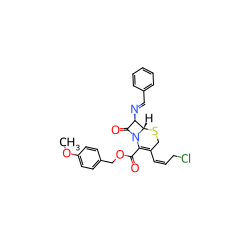 COc1ccc(COC(=O)C2=C(/C=C\CCl)CS[C@H]3[C@H](N=Cc4ccccc4)C(=O)N23)cc1